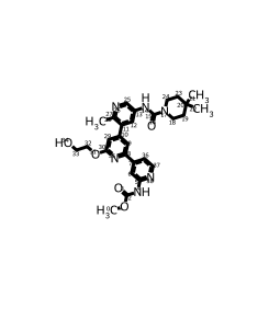 COC(=O)Nc1cc(-c2cc(-c3cc(NC(=O)N4CCC(C)(C)CC4)cnc3C)cc(OCCO)n2)ccn1